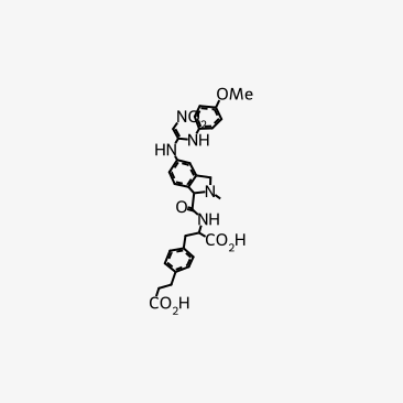 COc1ccc(NC(=C[N+](=O)[O-])Nc2ccc3c(c2)CN(C)C3C(=O)NC(Cc2ccc(CCC(=O)O)cc2)C(=O)O)cc1